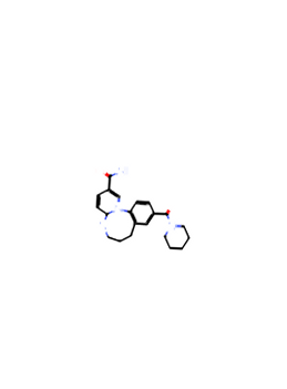 NC(=O)C1=CN2c3ccc(C(=O)N4CCCCC4)cc3CCCNC2C=C1